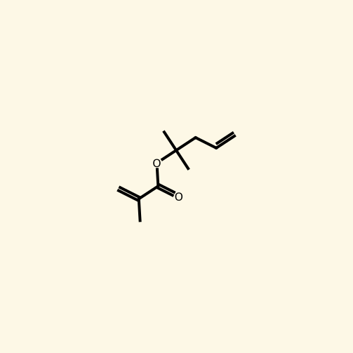 C=CCC(C)(C)OC(=O)C(=C)C